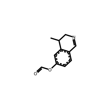 CC1CN=Cc2ccc(OC=O)cc21